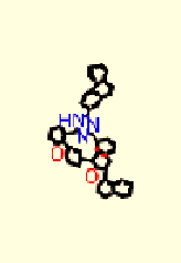 c1ccc(C2=NC(c3cccc4oc5ccc(-c6cccc7c6oc6ccc8ccccc8c67)cc5c34)NC(c3ccc4c(ccc5ccccc54)c3)=N2)cc1